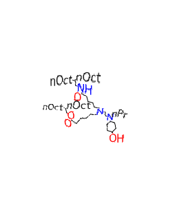 CCCCCCCCC(CCCCCCCC)CNC(=O)CCCCCN(CCCCCC(=O)OCC(CCCCCCCC)CCCCCCCC)CCN(CCC)C1CCC(O)CC1